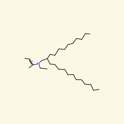 C/C=C(\C)N(CC)CC(CCCCCCCCCC)CCCCCCCCCCCC